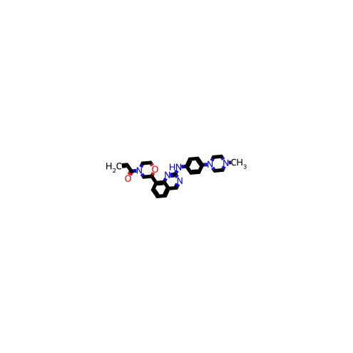 C=CC(=O)N1CCOC(c2cccc3cnc(Nc4ccc(N5CCN(C)CC5)cc4)nc23)C1